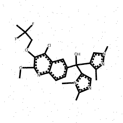 COc1nc2ccc(C(O)(c3cn(C)nc3C)c3cnc(C)n3C)cc2c(Cl)c1OCC(C)(F)F